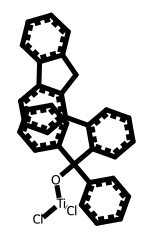 [Cl][Ti]([Cl])[O]C(c1ccccc1)(c1ccccc1)c1ccccc1-c1cccc2c1Cc1ccccc1-2